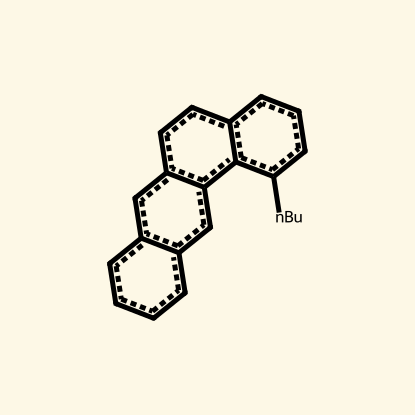 CCCCc1cccc2ccc3cc4ccccc4cc3c12